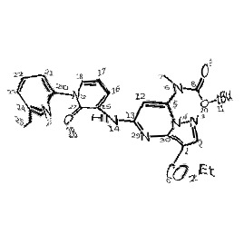 CCOC(=O)c1cnn2c(N(C)C(=O)OC(C)(C)C)cc(Nc3cccn(-c4cccc(C)n4)c3=O)nc12